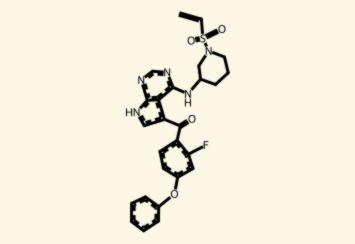 C=CS(=O)(=O)N1CCCC(Nc2ncnc3[nH]cc(C(=O)c4ccc(Oc5ccccc5)cc4F)c23)C1